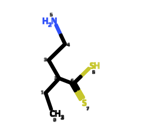 CCC(CCN)C(=S)S